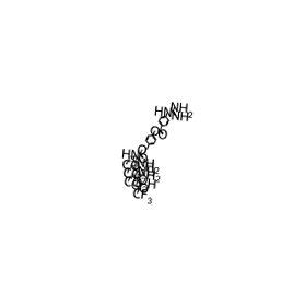 N=C(N)Nc1ccc(C(=O)Oc2ccc(COC(=O)N[C@@H](CC(=O)O)C(N)[C@@H](CC(=O)O)C(N)[C@H](CC(=O)O)C(=O)OC(=O)C(F)(F)F)cc2)cc1